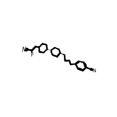 N#C/C(F)=C/C1CCC([C@H]2CC[C@H](CCCCc3ccc(C#N)cc3)CC2)CC1